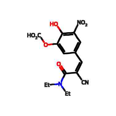 CCN(CC)C(=O)C(C#N)=Cc1cc(OC(=O)O)c(O)c([N+](=O)[O-])c1